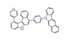 c1ccc2cc3c(cc2c1)c1ccccc1n3-c1ccc(-c2cc3oc4cccc(-c5ccncc5)c4c3c3ccccc23)cc1